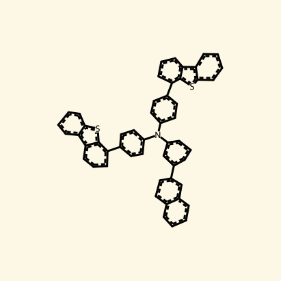 c1cc(-c2ccc3ccccc3c2)cc(N(c2ccc(-c3cccc4c3sc3ccccc34)cc2)c2ccc(-c3cccc4c3sc3ccccc34)cc2)c1